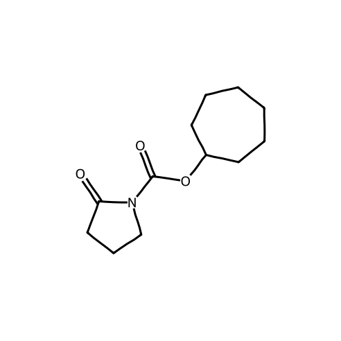 O=C1CCCN1C(=O)OC1CCCCCC1